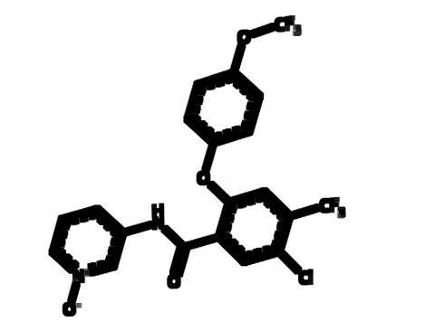 O=C(Nc1ccc[n+]([O-])c1)c1cc(Cl)c(C(F)(F)F)cc1Oc1ccc(OC(F)(F)F)cc1